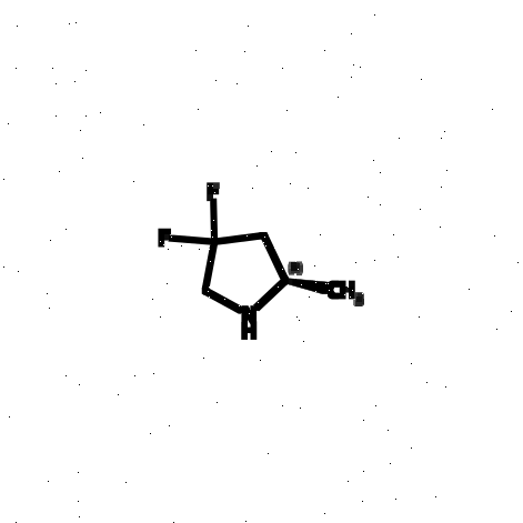 C[C@@H]1CC(F)(F)CN1